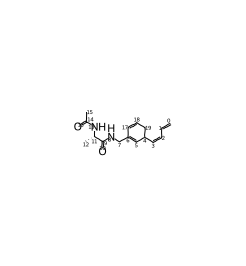 C=C/C=C\C1C=C(CNC(=O)[C@H](C)NC(C)=O)C=CC1